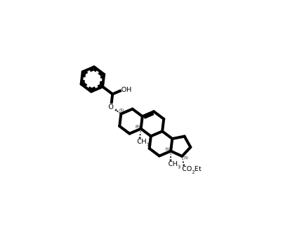 CCOC(=O)[C@H]1CCC2C3CC=C4C[C@@H](OC(O)c5ccccc5)CC[C@]4(C)C3CC[C@@]21C